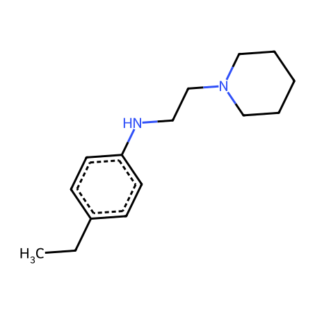 CCc1ccc(NCCN2CCCCC2)cc1